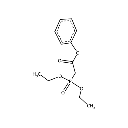 CCOP(=O)(CC(=O)Oc1ccccc1)OCC